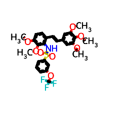 COc1cc(C=Cc2ccc(OC)c(OC)c2NS(=O)(=O)c2cccc(OC(F)(F)F)c2)cc(OC)c1OC